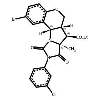 CCOC(=O)[C@@H]1[C@H]2COc3ccc(Br)cc3[C@H]2N2C(=O)N(c3cccc(Cl)c3)C(=O)[C@]12C